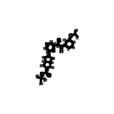 CC(C)Oc1cccc(NC(=O)c2cncc(N3CC4CN(C(=O)OC(C)(C)C)CC4C3)n2)c1